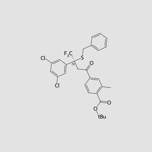 Cc1cc(C(=O)C[C@](SCc2ccccc2)(c2cc(Cl)cc(Cl)c2)C(F)(F)F)ccc1C(=O)OC(C)(C)C